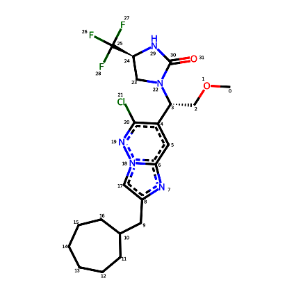 COC[C@H](c1cc2nc(CC3CCCCCC3)cn2nc1Cl)N1C[C@@H](C(F)(F)F)NC1=O